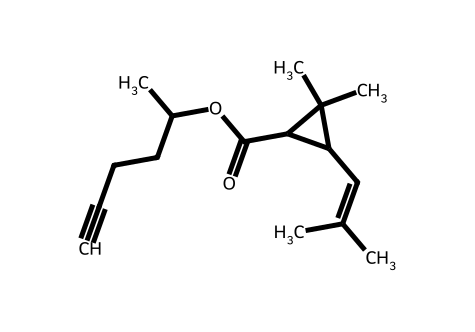 C#CCCC(C)OC(=O)C1C(C=C(C)C)C1(C)C